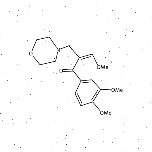 COC=C(CN1CCOCC1)C(=O)c1ccc(OC)c(OC)c1